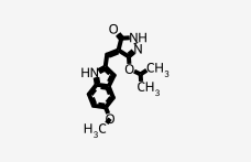 COc1ccc2[nH]c(C=C3C(=O)NN=C3OC(C)C)cc2c1